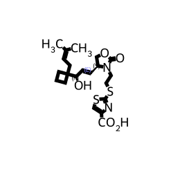 CC(C)=CCC1([C@H](O)/C=C/[C@H]2COC(=O)N2CCSc2nc(C(=O)O)cs2)CCC1